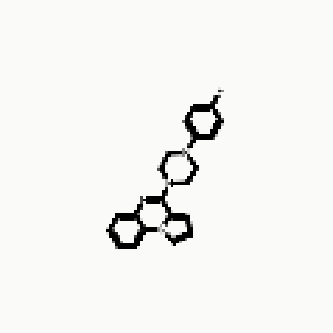 Fc1ccc(N2CCN(c3nc4ccccc4n4cccc34)CC2)cc1